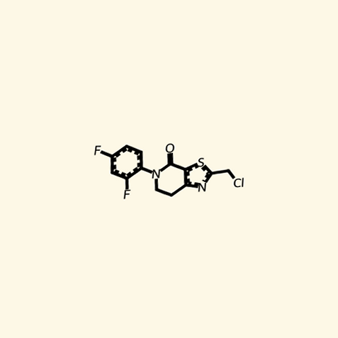 O=C1c2sc(CCl)nc2CCN1c1ccc(F)cc1F